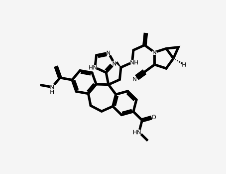 C=C(NC)c1ccc2c(c1)CCc1cc(C(=O)NC)ccc1C2(C[C@@H](C)NCC(=C)N1C(C#N)C[C@@H]2CC21)c1nnc[nH]1